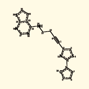 C(#Cc1csc(-c2ccco2)n1)CCNc1ncnc2sccc12